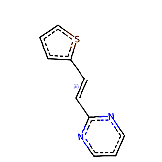 C(=C\c1cccs1)/c1ncccn1